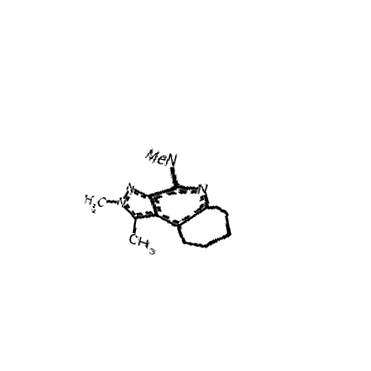 CNc1nc2c(c3c(C)n(C)nc13)CCCC2